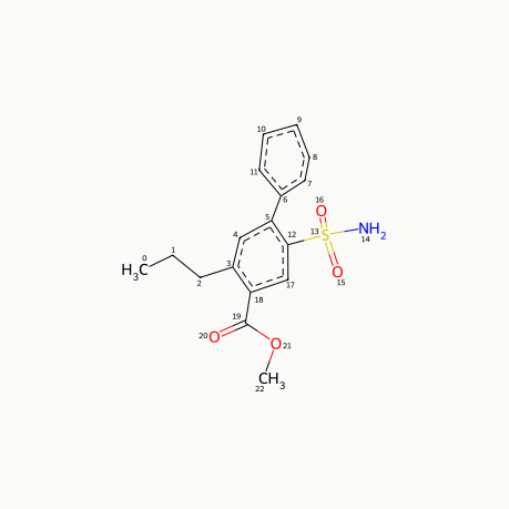 CCCc1cc(-c2ccccc2)c(S(N)(=O)=O)cc1C(=O)OC